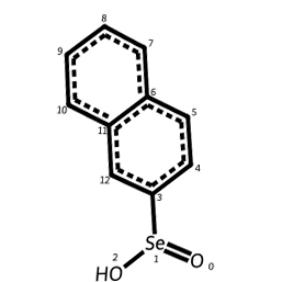 O=[Se](O)c1ccc2ccccc2c1